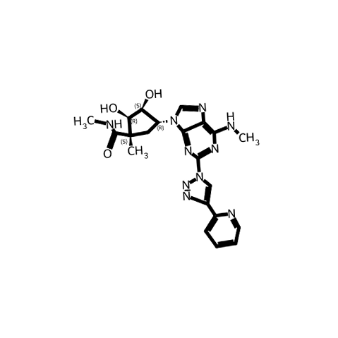 CNC(=O)[C@@]1(C)C[C@@H](n2cnc3c(NC)nc(-n4cc(-c5ccccn5)nn4)nc32)[C@H](O)[C@@H]1O